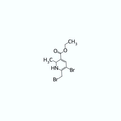 CCOC(=O)C1=CC(Br)=C(CBr)NC1C